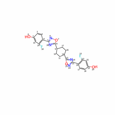 Oc1ccc(-c2noc(C3CCC(c4nc(-c5ccc(O)cc5F)no4)CC3)n2)c(F)c1